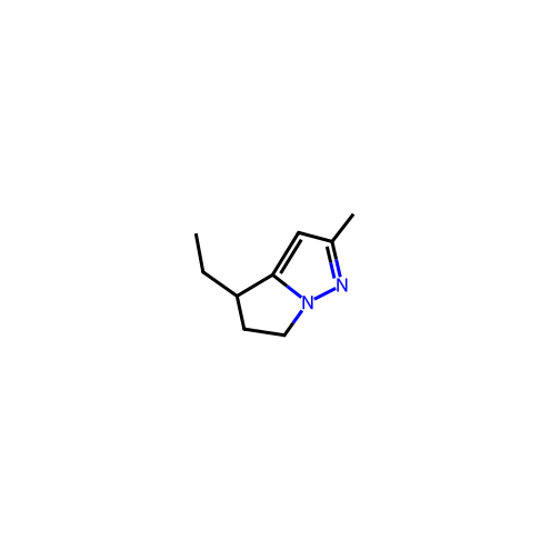 CCC1CCn2nc(C)cc21